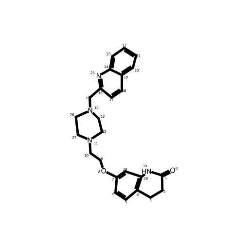 O=C1CCc2ccc(OCCN3CCN(Cc4ccc5ccccc5n4)CC3)cc2N1